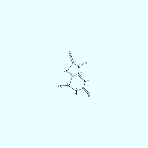 CN1C(=O)N=C2C(=O)NC(=O)N=C21